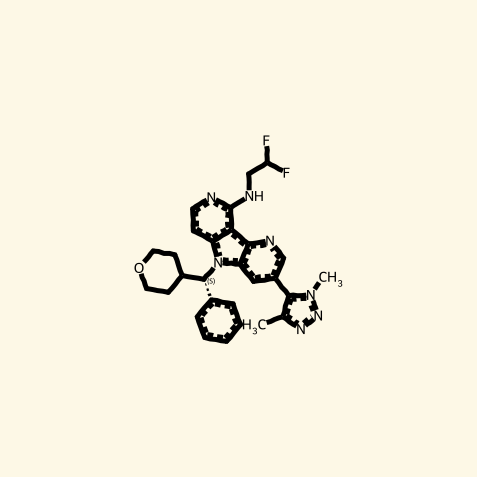 Cc1nnn(C)c1-c1cnc2c3c(NCC(F)F)nccc3n([C@H](c3ccccc3)C3CCOCC3)c2c1